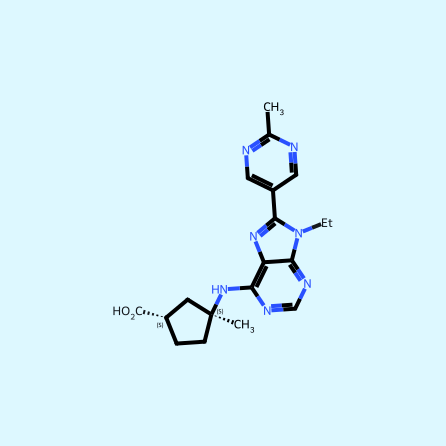 CCn1c(-c2cnc(C)nc2)nc2c(N[C@@]3(C)CC[C@H](C(=O)O)C3)ncnc21